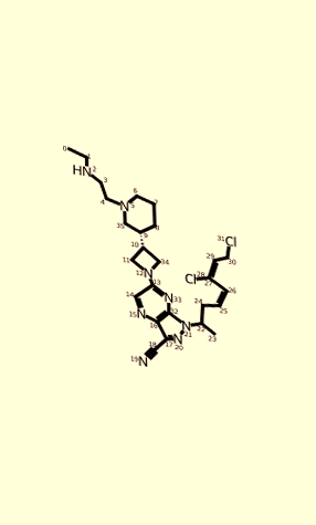 CCNCCN1CCC[C@H](C2CN(c3cnc4c(C#N)nn(C(C)C/C=C\C(Cl)=C/CCl)c4n3)C2)C1